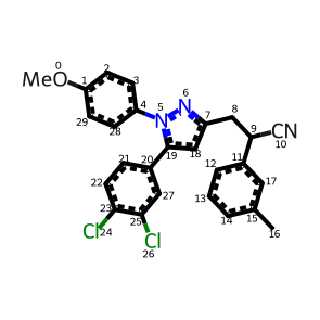 COc1ccc(-n2nc(CC(C#N)c3cccc(C)c3)cc2-c2ccc(Cl)c(Cl)c2)cc1